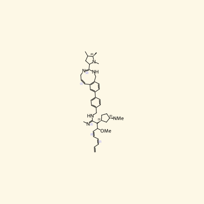 C=C/C=C\C=C/C(OC)C(/C(=N/C)NCc1ccc(-c2ccc3c(c2)/C=C\C/N=C(/C2CC(C)[C@@H](C)N2C)NC3)cc1)[C@H]1CC[C@@H](NC)C1